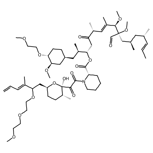 C=C/C=C(\C)C(C[C@@H]1CC[C@@H](C)[C@](O)(C(=O)C(=O)N2CCCC[C@H]2C(=O)O[C@@H](CC(=O)[C@H](C)/C=C(\C)[C@@H](OC)[C@@](C=O)(C[C@H](C)C[C@H](C)/C=C/C)OC)[C@H](C)C[C@@H]2CC[C@@H](OCCOC)[C@H](OC)C2)O1)OCCOCCOC